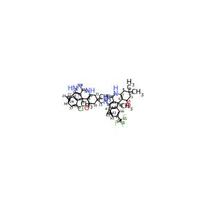 CC1(C)CC(=O)C2=C(C1)Nc1nn(CC3(C)CC(=O)C4=C(C3)Nc3n[nH]c(C5CC5)c3C4(C)c3ccccc3Cl)c(C3CC3)c1[C@]2(C)c1cccc(C(F)(F)F)c1